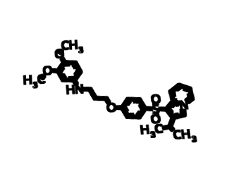 COc1ccc(NCCCOc2ccc(S(=O)(=O)c3c(C(C)C)cn4ccccc34)cc2)cc1OC